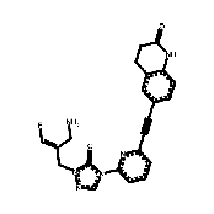 NC/C(=C\F)Cn1ncn(-c2cccc(C#Cc3ccc4c(c3)CCC(=O)N4)n2)c1=O